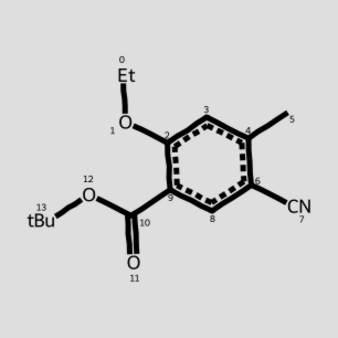 CCOc1cc(C)c(C#N)cc1C(=O)OC(C)(C)C